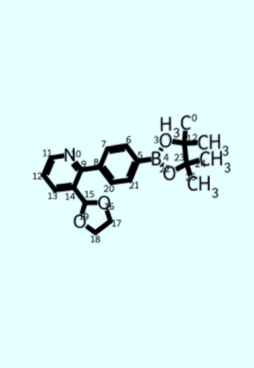 CC1(C)OB(c2ccc(-c3ncccc3C3OCCO3)cc2)OC1(C)C